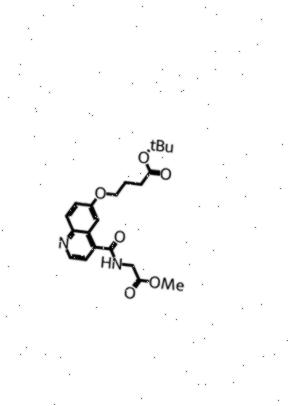 COC(=O)CNC(=O)c1ccnc2ccc(OCCCC(=O)OC(C)(C)C)cc12